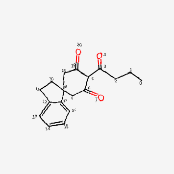 CCCC(=O)C1C(=O)CC2(CCc3ccccc32)CC1=O